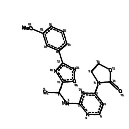 CCC(Nc1nccc(N2CCOC2=O)n1)c1nc(-c2cccc(OC)c2)no1